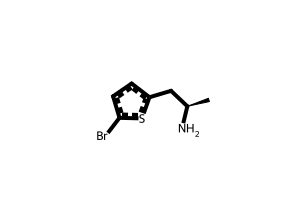 C[C@@H](N)Cc1ccc(Br)s1